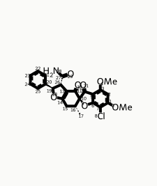 COc1cc(OC)c2c(c1Cl)O[C@@]1(C(=O)C3=C(C[C@H]1C)O[C@@H](c1ccccc1)[C@@H]3C(N)=O)C2=O